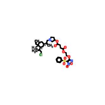 C=C[C@]1(C)CC[C@@H](C(=C)CN2CC[C@H](OC(=O)CCC(=O)OCCOc3no[n+]([O-])c3S(=O)(=O)c3ccccc3)C2)C[C@H]1C(=C)CCl